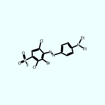 CCN(CC)c1ccc(/N=N/c2c(Cl)cc(S(=O)(=O)F)c(Cl)c2Br)cc1